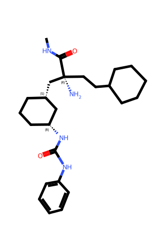 CNC(=O)[C@@](N)(CCC1CCCCC1)C[C@H]1CCC[C@@H](NC(=O)Nc2ccccc2)C1